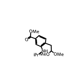 COC(=O)c1ccc(CC(OC)OC)c(NC(C)C)c1